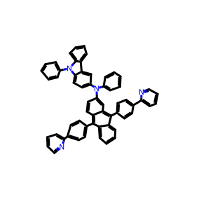 c1ccc(N(c2ccc3c(-c4ccc(-c5ccccn5)cc4)c4ccccc4c(-c4ccc(-c5ccccn5)cc4)c3c2)c2ccc3c(c2)c2ccccc2n3-c2ccccc2)cc1